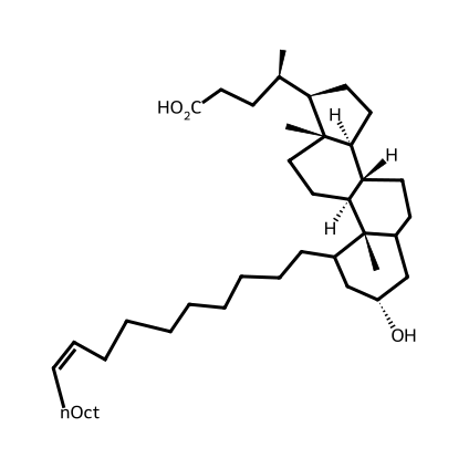 CCCCCCCC/C=C\CCCCCCCCC1C[C@@H](O)CC2CC[C@@H]3[C@H](CC[C@]4(C)[C@@H]([C@H](C)CCC(=O)O)CC[C@@H]34)[C@@]12C